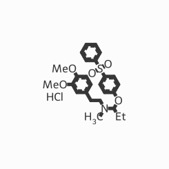 CCC(Oc1ccc(S(=O)(=O)c2ccccc2)cc1)N(C)CCc1ccc(OC)c(OC)c1.Cl